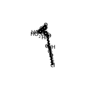 O=C(CCCCCNC(=O)C1C=C(C(=O)O)C(c2c3ccc(=O)cc-3oc3cc(O)ccc23)=CC1)NCCOCCOCCCCCCCl